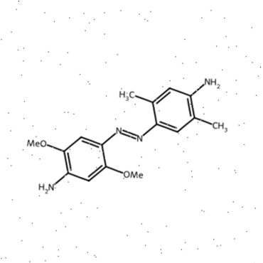 COc1cc(N=Nc2cc(C)c(N)cc2C)c(OC)cc1N